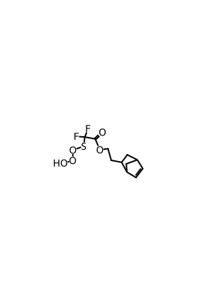 O=C(OCCC1CC2C=CC1C2)C(F)(F)SOOO